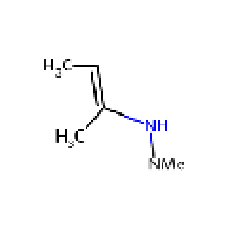 C/C=C(\C)NNC